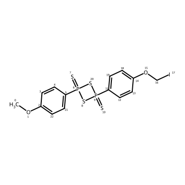 COc1ccc(P2(=S)SP(=S)(c3ccc(OCI)cc3)S2)cc1